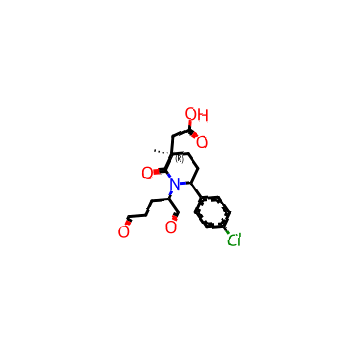 C[C@]1(CC(=O)O)CCC(c2ccc(Cl)cc2)N(C(C=O)CCC=O)C1=O